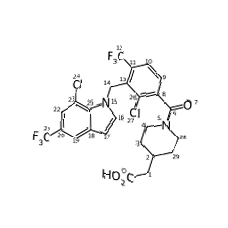 O=C(O)CC1CCN(C(=O)c2ccc(C(F)(F)F)c(Cn3ccc4cc(C(F)(F)F)cc(Cl)c43)c2Cl)CC1